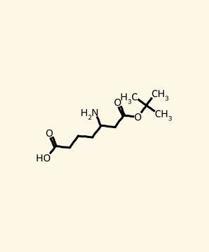 CC(C)(C)OC(=O)CC(N)CCCC(=O)O